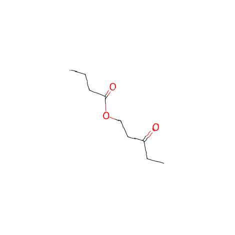 CCCC(=O)OCCC(=O)CC